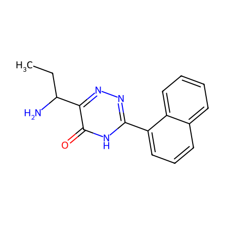 CCC(N)c1nnc(-c2cccc3ccccc23)[nH]c1=O